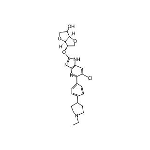 CCN1CCC(c2ccc(-c3nc4nc(O[C@@H]5CO[C@H]6[C@@H]5OC[C@H]6O)[nH]c4cc3Cl)cc2)CC1